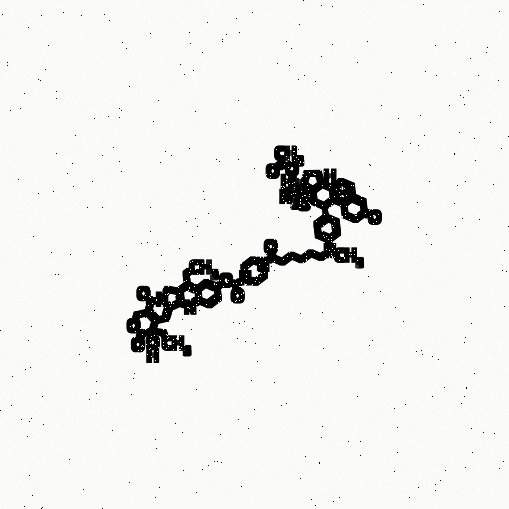 CCc1c2c(nc3ccc(OC(=O)N4CCN(C(=O)CCCCCN(C)c5ccc([C@H]6C[C@@]7(C)[C@@H](CC[C@]7(COC(C)=O)C(C)=O)[C@@H]7CCC8=CC(=O)CCC8=C76)cc5)CC4)cc13)-c1cc3c(c(=O)n1C2)COC(=O)[C@]3(O)CC